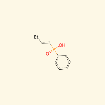 CCC=CP(=O)(O)c1ccccc1